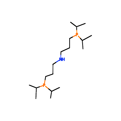 CC(C)P(CCCNCCCP(C(C)C)C(C)C)C(C)C